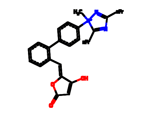 CCCC1=N[N+](C)(c2ccc(-c3ccccc3/C=C3\OC(=O)C=C3O)cc2)C(CCC)=N1